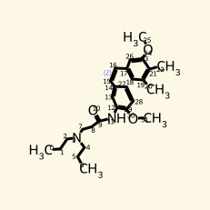 CCCN(CCC)CCC(=O)Nc1cc(/C=C\c2cc(C)c(C)c(OC)c2)ccc1OC